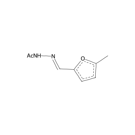 CC(=O)NN=Cc1ccc(C)o1